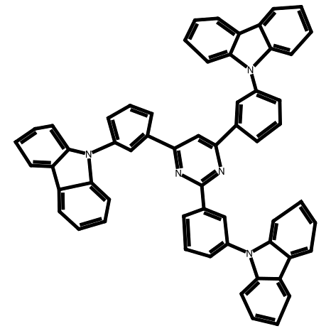 c1cc(-c2cc(-c3cccc(-n4c5ccccc5c5ccccc54)c3)nc(-c3cccc(-n4c5ccccc5c5ccccc54)c3)n2)cc(-n2c3ccccc3c3ccccc32)c1